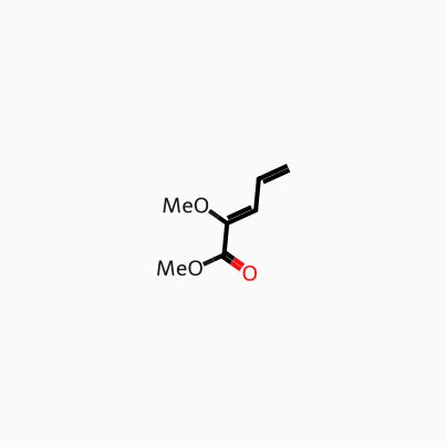 C=C/C=C(\OC)C(=O)OC